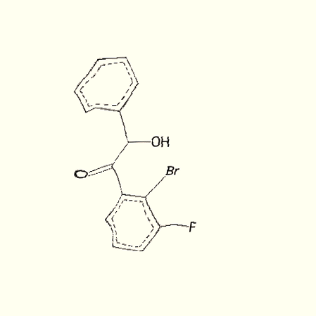 O=C(c1cccc(F)c1Br)C(O)c1ccccc1